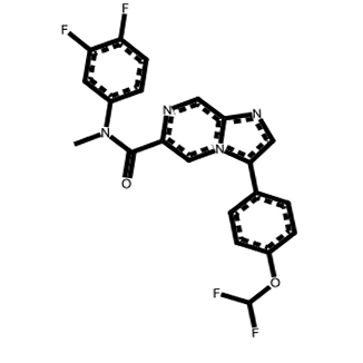 CN(C(=O)c1cn2c(-c3ccc(OC(F)F)cc3)cnc2cn1)c1ccc(F)c(F)c1